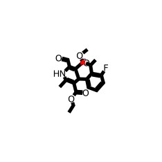 CCOC(=O)C1=C(C)NC(C=O)=C(C(=O)OC)C1c1cccc(F)c1C(C)F